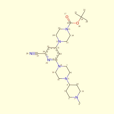 CN1CCC(N2CCN(c3cc(N4CCN(C(=O)OC(C)(C)C)CC4)cc(C#N)n3)CC2)CC1